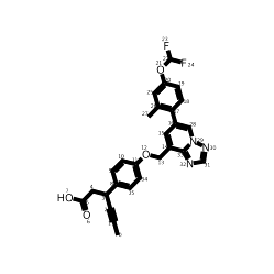 CC#CC(CC(=O)O)c1ccc(OCc2cc(-c3ccc(OC(F)F)cc3C)cn3ncnc23)cc1